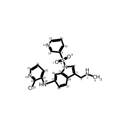 CNCc1cn(S(=O)(=O)c2cccnc2)c2cc(Nc3cccnc3Cl)ccc12